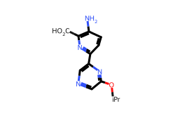 CC(C)Oc1cncc(-c2ccc(N)c(C(=O)O)n2)n1